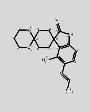 C/C=C/c1ccc2c(c1C)C1(CCC3(CC1)OCCCO3)C(=O)N2